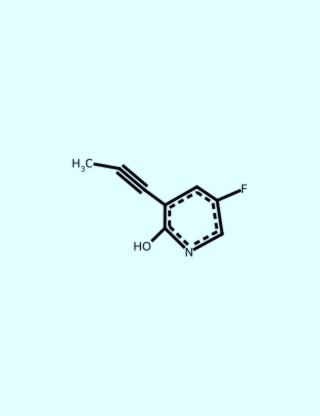 CC#Cc1cc(F)cnc1O